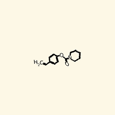 C=Cc1ccc(OC(=O)N2CCCCC2)cc1